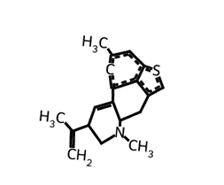 C=C(C)C1C=C2c3cc(C)cc4scc(c34)CC2N(C)C1